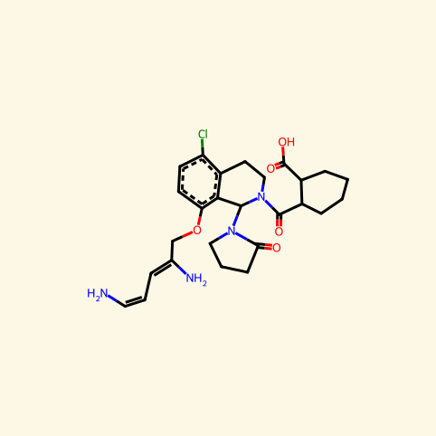 N/C=C\C=C(/N)COc1ccc(Cl)c2c1C(N1CCCC1=O)N(C(=O)C1CCCCC1C(=O)O)CC2